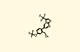 COCc1cc(OC(F)(F)F)ccc1-c1cnc2ncc(C(F)(F)F)n2c1